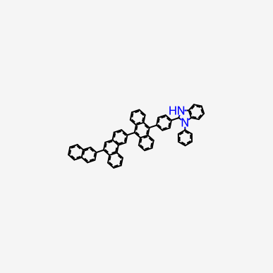 c1ccc(N2c3ccccc3NC2c2ccc(-c3c4ccccc4c(-c4ccc5cc(-c6ccc7ccccc7c6)c6ccccc6c5c4)c4ccccc34)cc2)cc1